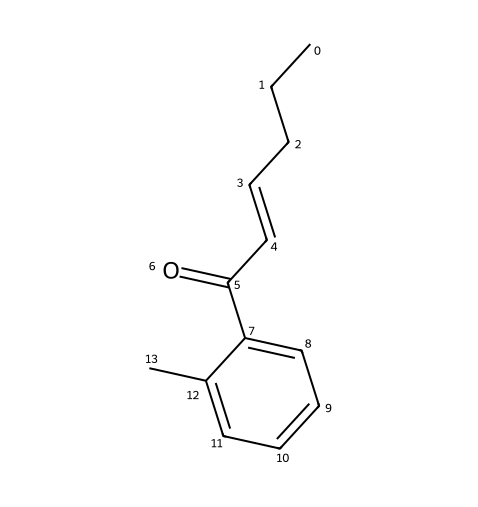 CCCC=CC(=O)c1ccccc1C